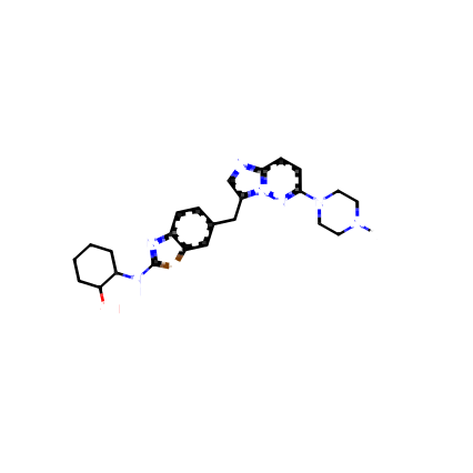 CN1CCN(c2ccc3ncc(Cc4ccc5nc(NC6CCCCC6O)sc5c4)n3n2)CC1